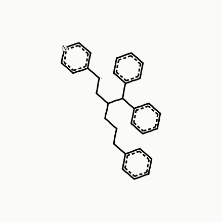 [CH](CC(CCCc1ccccc1)C(c1ccccc1)c1ccccc1)c1ccncc1